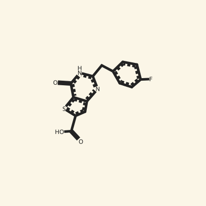 O=C(O)c1cc2nc(Cc3ccc(F)cc3)[nH]c(=O)c2s1